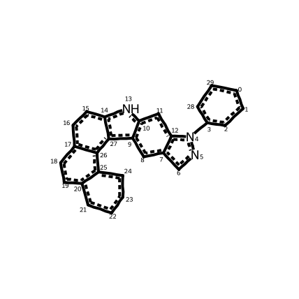 c1ccc(-n2ncc3cc4c(cc32)[nH]c2ccc3ccc5ccccc5c3c24)cc1